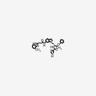 Cc1cccc2[nH]c(CCC(=O)Nc3ccc4ccn(CC[C@@H](NC(=O)c5c[nH]cn5)[C@H](C)OCc5ccccc5)c4c3)nc12